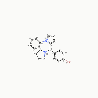 Brc1ccc(C(c2cccn2-c2ccccc2)N2CCCC2)cc1